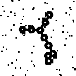 c1ccc(-c2ccc(-c3cc(-c4ccc(-c5ccc(-c6ccnc7c6ccc6cccnc67)cc5)cc4)cc(-c4ccc(-c5ccccn5)nc4)c3)cn2)nc1